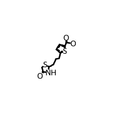 COC(=O)c1ccc(CCCC2NC(=O)CS2)s1